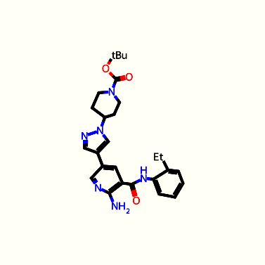 CCc1ccccc1NC(=O)c1cc(-c2cnn(C3CCN(C(=O)OC(C)(C)C)CC3)c2)cnc1N